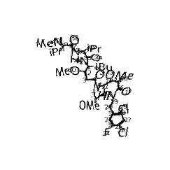 CC[C@H](C)[C@@H]([C@@H](CC(=O)N1C[C@H](OC)C[C@@H]1[C@H](OC)[C@@H](C)C(=O)NCCc1cc(F)c(Cl)cc1Cl)OC)N(C)C(=O)[C@@H](NC(=O)[C@@H](NC)C(C)C)C(C)C